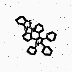 c1ccc(-c2c(-c3ccccc3)c(-c3cccc4c3nc3sc5ccccc5n34)n(-c3ccccc3)c2-c2ccccc2)cc1